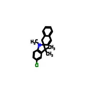 CN1c2ccc(Cl)cc2C(C)(C)C12C=Cc1ccccc1C2